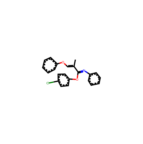 CC(=C\Oc1ccccc1)/C(=N/c1ccccc1)Oc1ccc(Cl)cc1